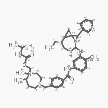 CC[C@@H]1CNC(Nc2cc(NC(=O)c3ccc(CN4CC[C@@H](C)[N+](C)(COC(=O)NC(C)C)CC4)cc3)ccc2C)[N@]2C(c3cccnc3)[C@]23CC13